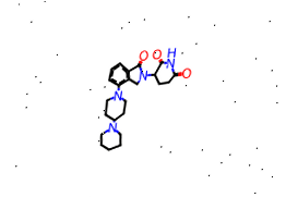 O=C1CCC(N2Cc3c(cccc3N3CCC(N4CCCCC4)CC3)C2=O)C(=O)N1